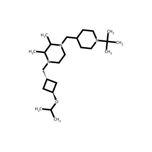 CC(C)O[C@H]1C[C@H](CN2CCN(CC3CCN(C(C)(C)C)CC3)C(C)C2C)C1